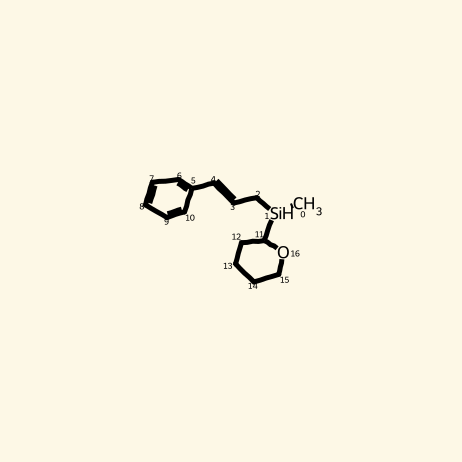 C[SiH](CC=Cc1ccccc1)C1CCCCO1